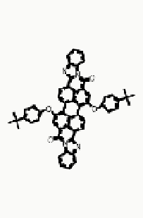 CC(C)(C)c1ccc(Oc2cc3c(=O)n4c5ccccc5nc4c4ccc5c6c(Oc7ccc(C(C)(C)C)cc7)cc7c(=O)n8c9ccccc9nc8c8ccc(c2c5c34)c6c78)cc1